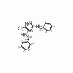 Clc1nnc(NCc2ccccc2)nc1NCc1ccccc1